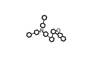 c1ccc(-c2ccc(N(c3ccc(-c4ccccc4)cc3)c3ccc(-c4ccccc4-c4cccc5oc6cc7ccccc7cc6c45)cc3)cc2)cc1